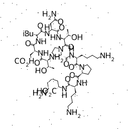 CC[C@H](C)[C@H](NC(=O)[C@H](CC(=O)O)NC(=O)[C@@H](N)[C@@H](C)O)C(=O)N[C@@H](CC(N)=O)C(=O)N[C@H](C(=O)N1CCC[C@H]1C(=O)N[C@@H](CCCCN)C(=O)N1CCC[C@H]1C(=O)N[C@@H](CCCCN)C(=O)N[C@@H](CCCCN)C(=O)O)[C@@H](C)O